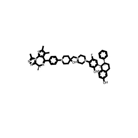 COc1cc(N2CCN(CC3(O)CCN(c4ccc(C5=N[C@@H](C)c6nnc(C)n6-c6sc(C)c(C)c65)cc4)CC3)CC2)c(F)cc1[C@@H]1c2ccc(O)cc2CC[C@@H]1c1ccccc1